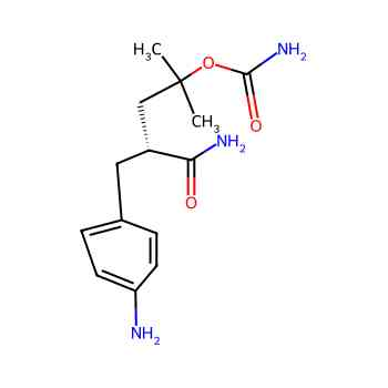 CC(C)(C[C@@H](Cc1ccc(N)cc1)C(N)=O)OC(N)=O